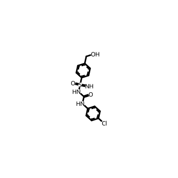 N=S(=O)(NC(=O)Nc1ccc(Cl)cc1)c1ccc(CO)cc1